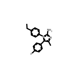 CCc1ccc(-n2c(N)nc(C)c2-c2ccc(F)cc2)cc1